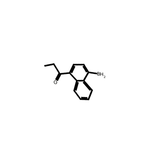 Bc1ccc(C(=O)CC)c2ccccc12